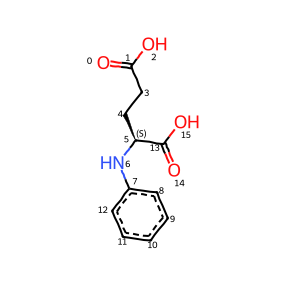 O=C(O)CC[C@H](Nc1ccccc1)C(=O)O